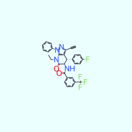 C#Cc1nn(-c2ccccc2)c2c1[C@H](c1ccc(F)cc1)[C@@H](NC(=O)c1cccc(C(F)(F)F)c1)C(=O)N2CC